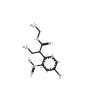 CCOC(=O)C(CC)c1ncc(Br)cc1[N+](=O)[O-]